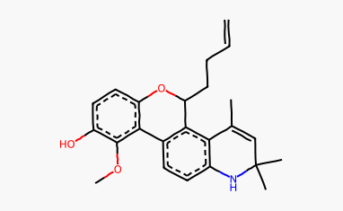 C=CCCC1Oc2ccc(O)c(OC)c2-c2ccc3c(c21)C(C)=CC(C)(C)N3